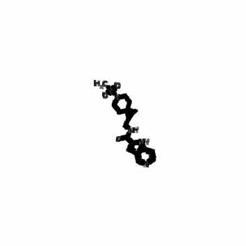 CS(=O)(=O)N1CCC2(CC1)CC2CNC(=O)c1cc2cnccc2[nH]1